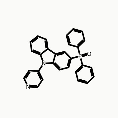 O=P(c1ccccc1)(c1ccccc1)c1ccc2c(c1)c1ccccc1n2-c1ccncc1